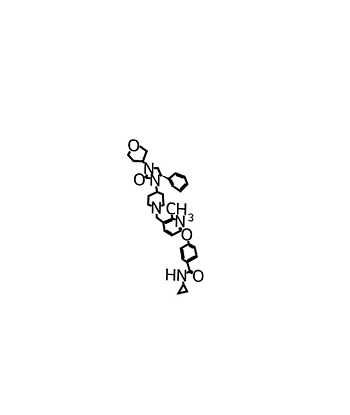 Cc1nc(Oc2ccc(C(=O)NC3CC3)cc2)ccc1CN1CCC(N2C(=O)N(C3CCOCC3)C[C@H]2c2ccccc2)CC1